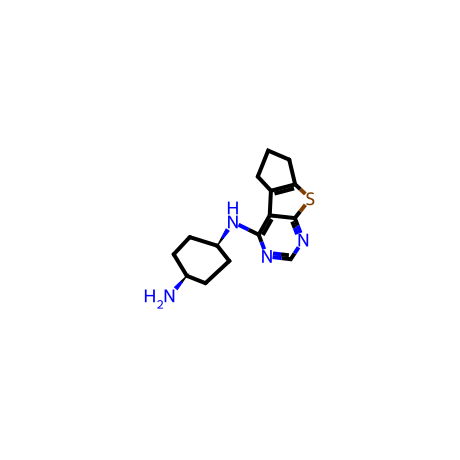 N[C@H]1CC[C@@H](Nc2ncnc3sc4c(c23)CCC4)CC1